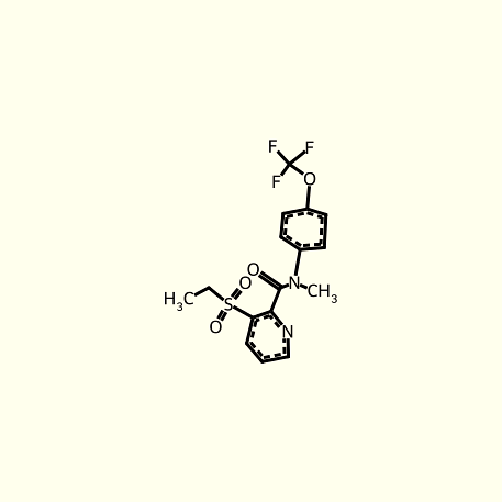 CCS(=O)(=O)c1cccnc1C(=O)N(C)c1ccc(OC(F)(F)F)cc1